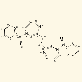 O=C(c1ccccc1)N1C=CC=NC(CCC2=CN(C(=O)c3ccccc3)C=CC=N2)=C1